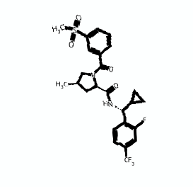 C[C@@H]1C[C@H](C(=O)N[C@@H](c2ccc(C(F)(F)F)cc2F)C2CC2)N(C(=O)c2cccc(S(C)(=O)=O)c2)C1